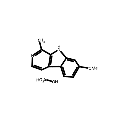 COc1ccc2c(c1)[nH]c1c(C)nccc12.O=S(=O)(O)O